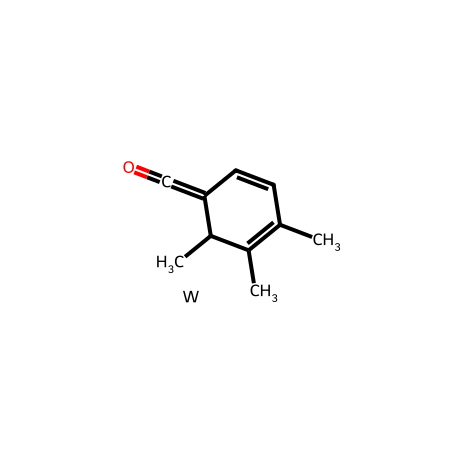 CC1=C(C)C(C)C(=C=O)C=C1.[W]